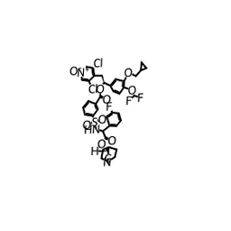 O=C(O[C@@H](Cc1c(Cl)c[n+]([O-])cc1Cl)c1ccc(OC(F)F)c(OCC2CC2)c1)c1cccc(S(=O)(=O)NC(C(=O)O[C@H]2CN3CCC2CC3)c2cccc(F)c2)c1